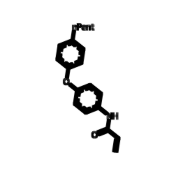 C=CC(=O)Nc1ccc(Oc2ccc(CCCCC)cc2)cc1